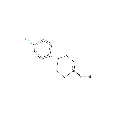 CCCCCCC[Si@H]1CC[C@H](c2ccc(F)cc2)CC1